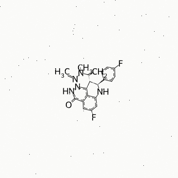 C=C([C@H]1c2n[nH]c(=O)c3cc(F)cc(c23)N[C@@H]1c1ccc(F)cc1)N(C)/N=C\C